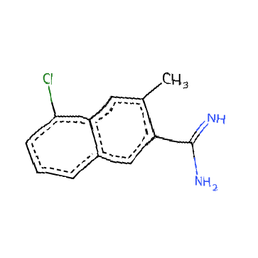 Cc1cc2c(Cl)cccc2cc1C(=N)N